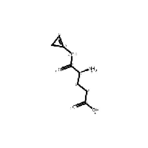 N[C@@H](CCC(=O)O)C(=O)PC1=CC1